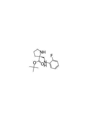 CC(C)(C)OC(=O)[C@]1(CNc2ccccc2F)CCCN1